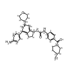 CCN1CCN(C(=O)c2ccc(NC(=O)ON3CCc4c(-c5cnc(N)nc5)nc(N5CCOCC5)nc43)cc2)CC1